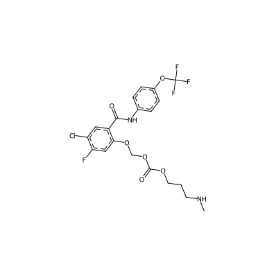 CNCCCOC(=O)OCOc1cc(F)c(Cl)cc1C(=O)Nc1ccc(OC(F)(F)F)cc1